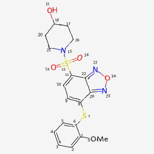 COc1ccccc1Sc1ccc(S(=O)(=O)N2CCC(O)CC2)c2nonc12